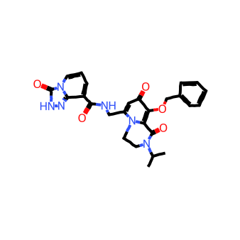 CC(C)N1CCn2c(CNC(=O)c3cccn4c(=O)[nH]nc34)cc(=O)c(OCc3ccccc3)c2C1=O